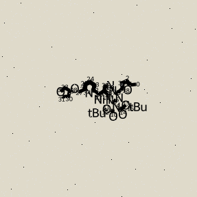 Cc1ccc(-c2nc(N(C(=O)OC(C)(C)C)C(=O)OC(C)(C)C)nc3c(C(=N)c4cccc(COC5CCOC5)n4)cnn23)o1